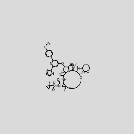 CC[C@@H]1O[C@H](C)CC/C=C\[C@@H]2C[C@@]2(C(=O)NS(=O)(=O)C2(C)CC2)NC(=O)[C@@H]2C[C@@H](Oc3cc(-c4ccc(OC(C)C)cc4)nc(-c4nccs4)c3)C(C(F)(F)F)N2C(=O)[C@H]1N(C(=O)O)C1CCCOC1